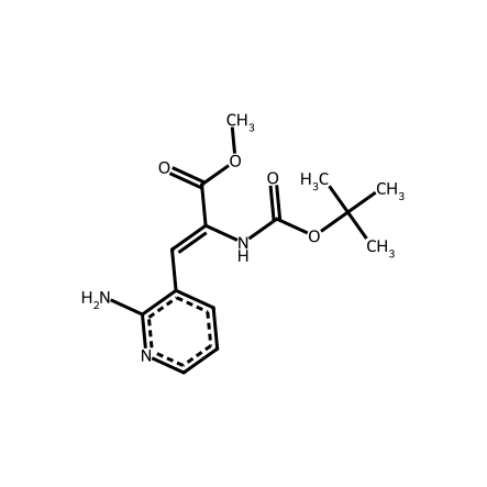 COC(=O)C(=Cc1cccnc1N)NC(=O)OC(C)(C)C